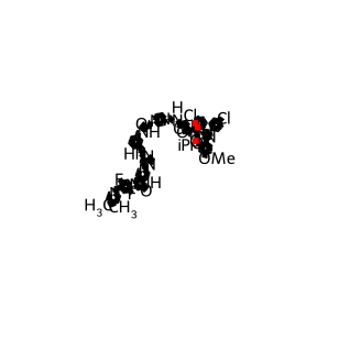 COc1ccc(C2=N[C@@H](c3ccc(Cl)cc3)[C@@H](c3ccc(Cl)cc3)N2C(=O)N2CCN(CC(=O)NCCN3CCN(CCC(=O)NCc4cccc(CNc5cc(N6CCC7(CC6)CN(c6cc(F)c(CN8CCC(C)(C)CC8)cc6F)CC(=O)N7)ncn5)c4)CC3)C(=O)C2)c(OC(C)C)c1